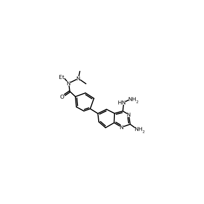 CCN(C(=O)c1ccc(-c2ccc3nc(N)nc(NN)c3c2)cc1)N(C)C